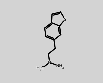 CN(N)CCc1ccc2ccsc2c1